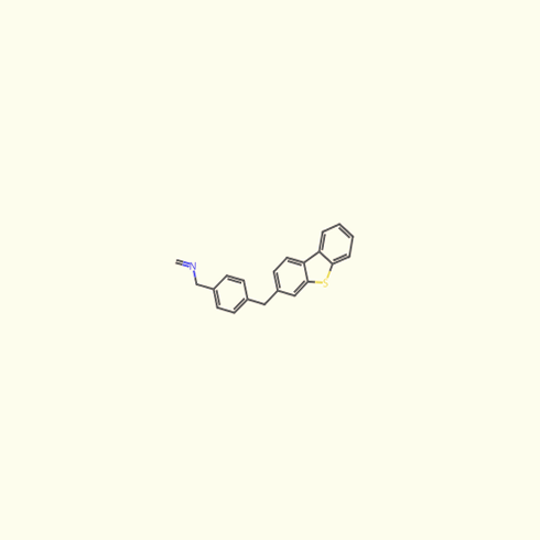 C=NCc1ccc(Cc2ccc3c(c2)sc2ccccc23)cc1